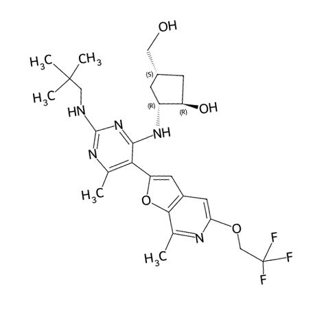 Cc1nc(NCC(C)(C)C)nc(N[C@@H]2C[C@H](CO)C[C@H]2O)c1-c1cc2cc(OCC(F)(F)F)nc(C)c2o1